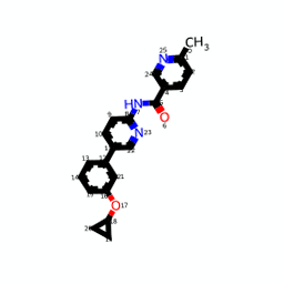 Cc1ccc(C(=O)Nc2ccc(-c3cccc(OC4CC4)c3)cn2)cn1